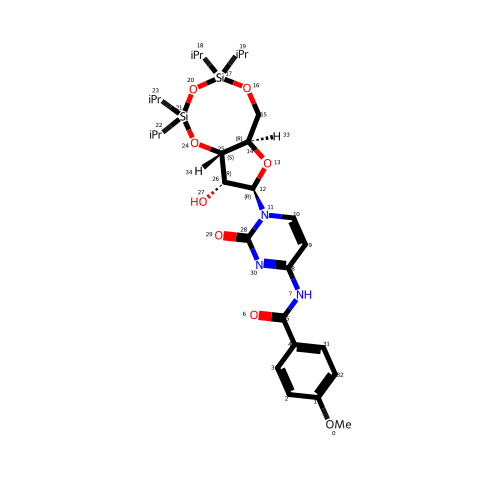 COc1ccc(C(=O)Nc2ccn([C@@H]3O[C@@H]4CO[Si](C(C)C)(C(C)C)O[Si](C(C)C)(C(C)C)O[C@H]4[C@H]3O)c(=O)n2)cc1